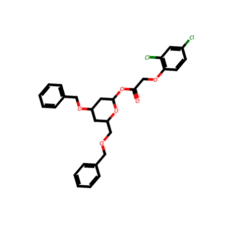 O=C(COc1ccc(Cl)cc1Cl)OC1CC(OCc2ccccc2)CC(COCc2ccccc2)O1